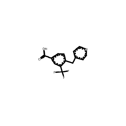 O=C(O)c1ccc(Cc2ccncc2)c(C(F)(F)F)c1